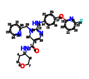 O=C(NC1CCOCC1)C1=CN=C(Nc2ccc(Oc3cccc(F)n3)cc2)N(Cc2ccccn2)C1